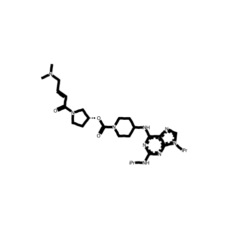 CC(C)Nc1nc(NC2CCN(C(=O)O[C@@H]3CCN(C(=O)/C=C/CN(C)C)C3)CC2)c2ncn(C(C)C)c2n1